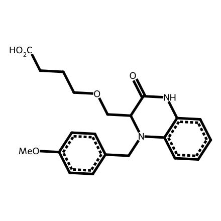 COc1ccc(CN2c3ccccc3NC(=O)C2COCCCC(=O)O)cc1